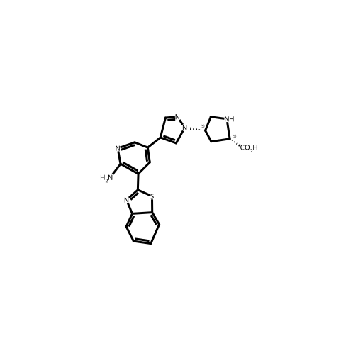 Nc1ncc(-c2cnn([C@@H]3CN[C@H](C(=O)O)C3)c2)cc1-c1nc2ccccc2s1